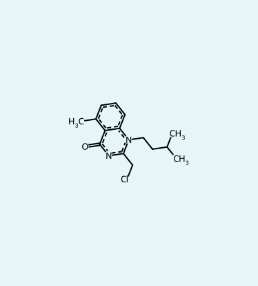 Cc1cccc2c1c(=O)nc(CCl)n2CCC(C)C